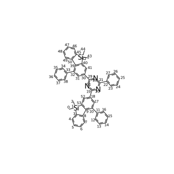 C[Si]1(C)c2ccccc2-c2c(-c3ccccc3)cc(-c3nc(-c4ccccc4)nc(-c4cc(-c5ccccc5)c5c(c4)[Si](C)(C)c4ccccc4-5)n3)cc21